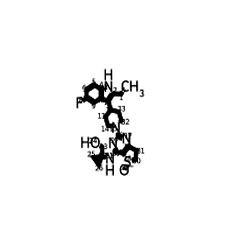 CCc1[nH]c2ccc(F)cc2c1C1CCN(c2nc3c(c(NC4(CO)CC4)n2)[S+]([O-])CC3)CC1